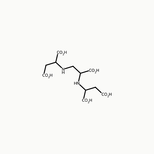 O=C(O)CC(NCC(NC(CC(=O)O)C(=O)O)C(=O)O)C(=O)O